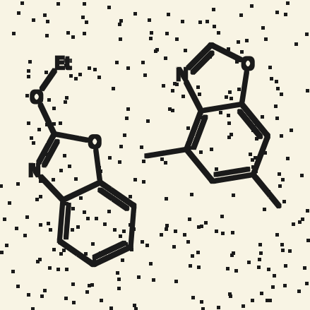 CCOc1nc2ccccc2o1.Cc1cc(C)c2ncoc2c1